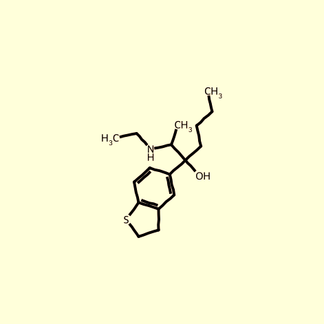 CCCCC(O)(c1ccc2c(c1)CCS2)C(C)NCC